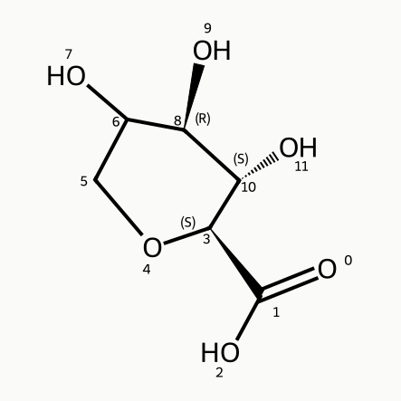 O=C(O)[C@H]1OCC(O)[C@@H](O)[C@@H]1O